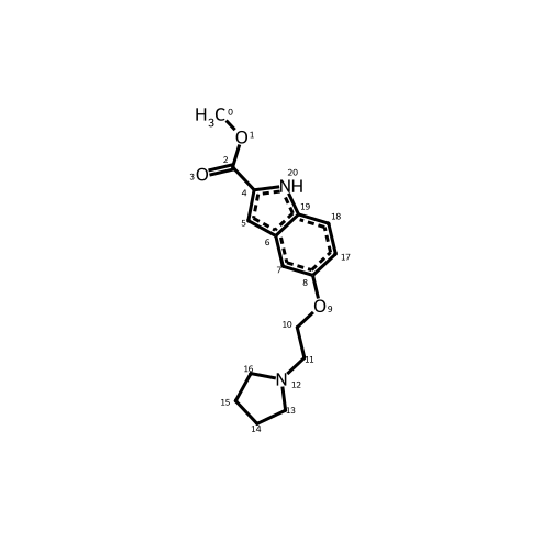 COC(=O)c1cc2cc(OCCN3CCCC3)ccc2[nH]1